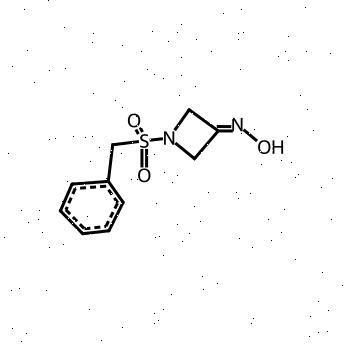 O=S(=O)(Cc1ccccc1)N1CC(=NO)C1